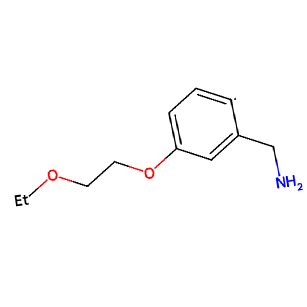 CCOCCOc1cc[c]c(CN)c1